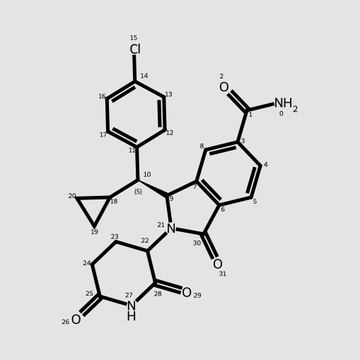 NC(=O)c1ccc2c(c1)C([C@H](c1ccc(Cl)cc1)C1CC1)N(C1CCC(=O)NC1=O)C2=O